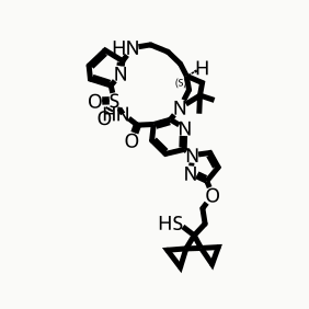 CC1(C)C[C@@H]2CCCNc3cccc(n3)S(=O)(=O)NC(=O)c3ccc(-n4ccc(OCCC5(S)C6(CC6)C56CC6)n4)nc3N1C2